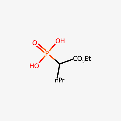 CCCC(C(=O)OCC)P(=O)(O)O